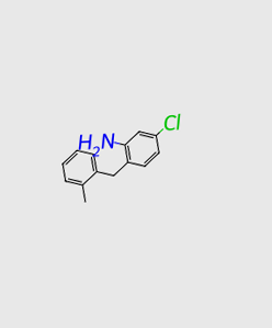 Cc1ccccc1Cc1ccc(Cl)cc1N